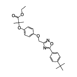 CCOC(=O)C(C)(C)Oc1ccc(OCc2noc(-c3ccc(C(C)(C)C)cc3)n2)cc1